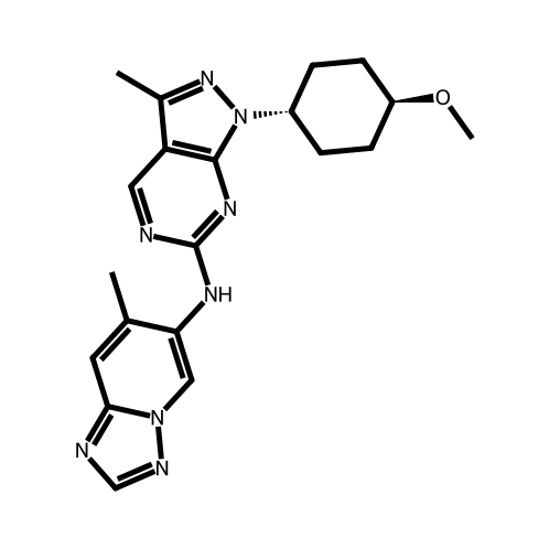 CO[C@H]1CC[C@H](n2nc(C)c3cnc(Nc4cn5ncnc5cc4C)nc32)CC1